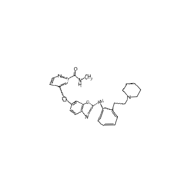 CNC(=O)c1cc(Oc2ccc3nc(Nc4ccccc4CCN4CCCCC4)oc3c2)ccn1